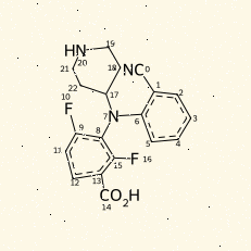 N#Cc1ccccc1N(c1c(F)ccc(C(=O)O)c1F)C1CCNCC1